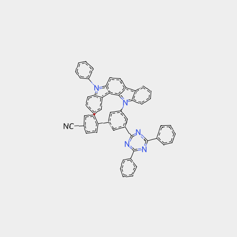 N#Cc1ccc(-c2cc(-c3nc(-c4ccccc4)nc(-c4ccccc4)n3)cc(-n3c4ccccc4c4ccc5c(c6ccccc6n5-c5ccccc5)c43)c2)cc1